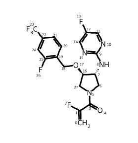 C=C(F)C(=O)N1C[C@@H](Nc2ncc(F)cn2)[C@H](OCc2ccc(C(F)(F)F)cc2F)C1